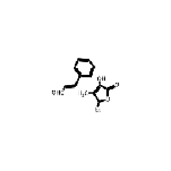 CCC1OC(=O)C(O)=C1C.O=CC=Cc1ccccc1